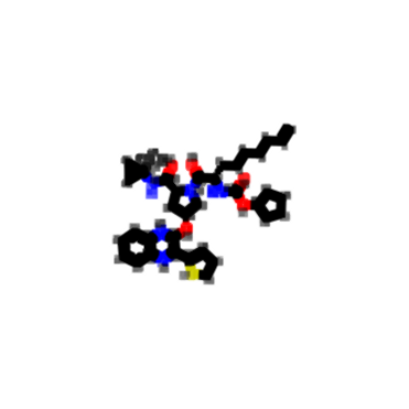 C=CCCCCC[C@H](NC(=O)OC1CCCC1)C(=O)N1C[C@H](Oc2nc3ccccc3nc2C2=CCCS2)C[C@H]1C(=O)NC1(C(=O)O)CC1